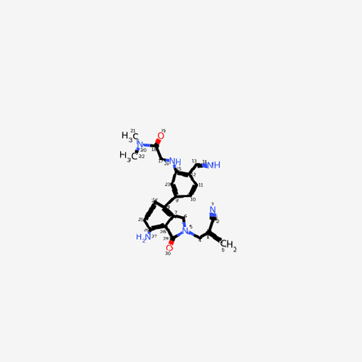 C=C(C#N)CN1Cc2c(-c3ccc(C=N)c(NCC(=O)N(C)C)c3)ccc(N)c2C1=O